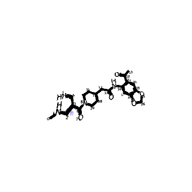 CN/C=C(\C=N)C(=O)N1CCC(CC(=O)Nc2cc3c(cc2C(C)=O)OCO3)CC1